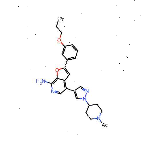 CC(=O)N1CCC(n2cc(-c3cnc(N)c4oc(-c5cccc(OCCC(C)C)c5)cc34)cn2)CC1